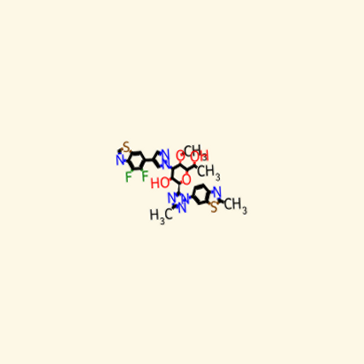 CO[C@H]1C(C(C)O)O[C@@H](c2nc(C)nn2-c2ccc3nc(C)sc3c2)C(O)C1n1cc(-c2cc3scnc3c(F)c2F)cn1